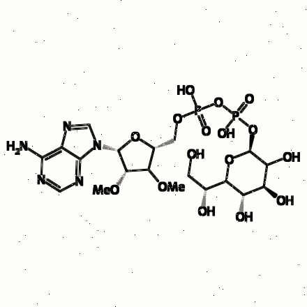 COC1[C@@H](COP(=O)(O)OP(=O)(O)O[C@@H]2OC([C@H](O)CO)[C@@H](O)[C@H](O)C2O)O[C@@H](n2cnc3c(N)ncnc32)[C@H]1OC